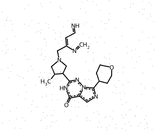 C=N/C(=C\C=N)CN1CC(C)C(c2nn3c(C4CCOCC4)ncc3c(=O)[nH]2)C1